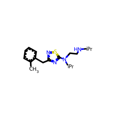 Cc1ccccc1Cc1nsc(N(CCNC(C)C)C(C)C)n1